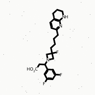 O=C(O)CC(c1cc(F)cc(F)c1)N1CC(F)(CCCCc2ccc3c(n2)NCCC3)C1